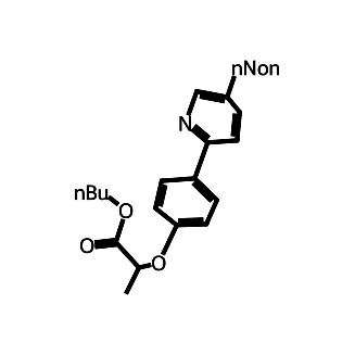 CCCCCCCCCc1ccc(-c2ccc(OC(C)C(=O)OCCCC)cc2)nc1